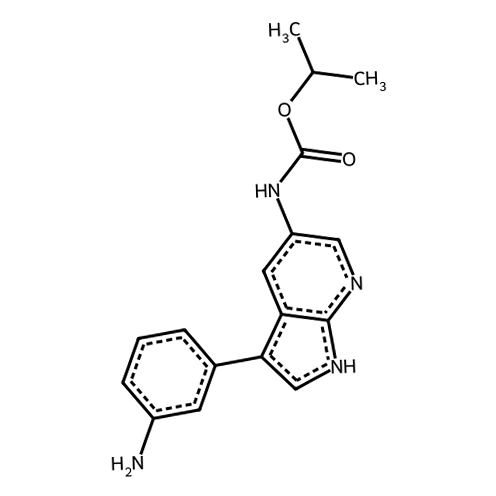 CC(C)OC(=O)Nc1cnc2[nH]cc(-c3cccc(N)c3)c2c1